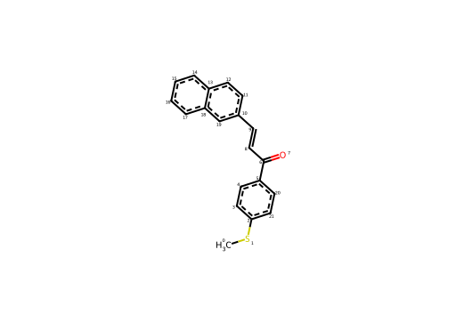 CSc1ccc(C(=O)C=Cc2ccc3ccccc3c2)cc1